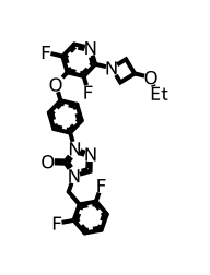 CCOC1CN(c2ncc(F)c(Oc3ccc(-n4ncn(Cc5c(F)cccc5F)c4=O)cc3)c2F)C1